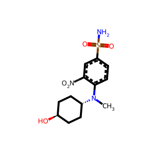 CN(c1ccc(S(N)(=O)=O)cc1[N+](=O)[O-])[C@H]1CC[C@H](O)CC1